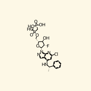 C[C@H](Nc1cc(Cl)nc2c1cnn2[C@@H]1O[C@H](COP(=O)(O)CP(=O)(O)O)[C@@H](O)[C@@H]1F)c1ccccc1